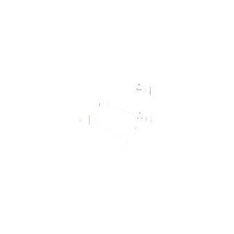 ClI.[Ag].[Cl][Ag]